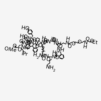 CCOCC(=O)NCCOCCOCC(=O)NCCCCC1NC(=O)[C@@H]([C@@H](C)CC)NC(=O)[C@@H](NC(=O)[C@@H]2CCCN2C(=O)C(NC(=O)[C@H](Cc2ccc(O)cc2)NC(=O)[C@@H](NC(=O)[C@H](CCC(=O)OC)NC(=O)CC(C)C)[C@@H](C)O)C(c2ccccc2)c2ccccc2)CSSC[C@@H](C(N)=O)NC(=O)[C@@H](CCCCN)NC(=O)C[C@H](Cc2ccccc2)NC1=O